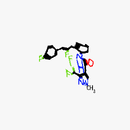 Cn1cc(C(=O)Nc2ccccc2C(F)=Cc2ccc(F)cc2)c(C(F)F)n1